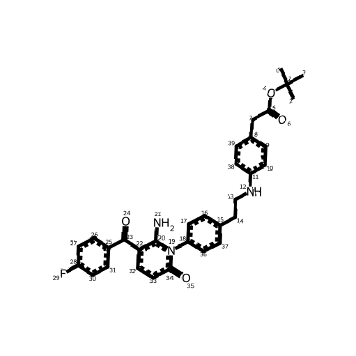 CC(C)(C)OC(=O)Cc1ccc(NCCc2ccc(-n3c(N)c(C(=O)c4ccc(F)cc4)ccc3=O)cc2)cc1